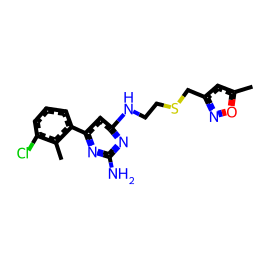 Cc1cc(CSCCNc2cc(-c3cccc(Cl)c3C)nc(N)n2)no1